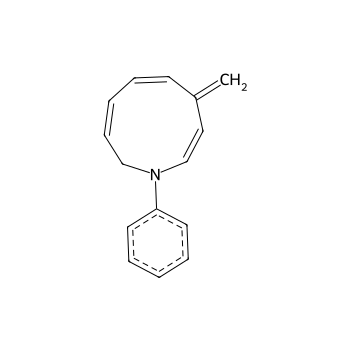 C=C1/C=C\C=C/CN(c2ccccc2)/C=C\1